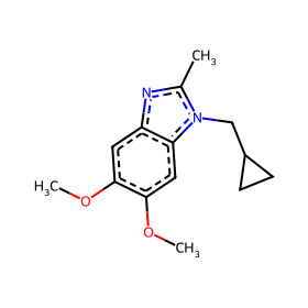 COc1cc2nc(C)n(CC3CC3)c2cc1OC